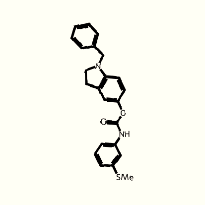 CSc1cccc(NC(=O)Oc2ccc3c(c2)CCN3Cc2ccccc2)c1